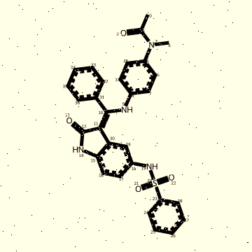 CC(=O)N(C)c1ccc(NC(=C2C(=O)Nc3ccc(NS(=O)(=O)c4ccccc4)cc32)c2ccccc2)cc1